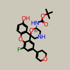 CC(C)(C)OC(=O)N[C@@H]1CNCC2(O1)c1cc(O)ccc1Oc1c(F)cc(C3=CCOCC3)cc12